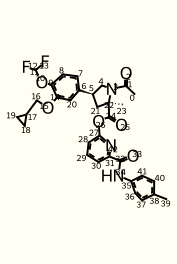 CC(=O)N1C[C@H](c2ccc(OC(F)F)c(OCC3CC3)c2)C[C@]1(C)C(=O)Oc1cccc(C(=O)Nc2ccc(C)cc2)n1